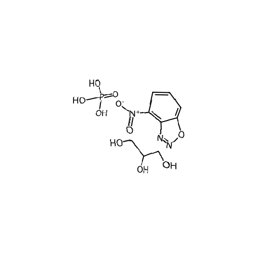 O=P(O)(O)O.O=[N+]([O-])c1cccc2onnc12.OCC(O)CO